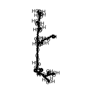 O=C(O)CNCCN(CCN(CCNCC(=O)O)CC(=O)NCn1nnc2c1-c1ccccc1CN(C(=O)CCC(=O)NCCOCCOCCCCOCCCC(=O)NC(CCC(=O)NCCCCCC(=O)N[C@@H](CCC(=O)N[C@@H](CCCOP(=O)(O)N[C@@H](CC(=O)O)C(=O)O)C(=O)O)C(=O)O)C(=O)NC(CCCCNC(=O)CCCc1ccc(I)cc1)C(=O)O)c1ccccc1-2)CC(=O)O